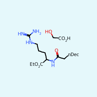 CCCCCCCCCCCC(=O)NC(CCCNC(=N)N)C(=O)OCC.O=C(O)CO